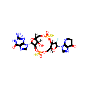 Nc1nc2c(ncn2[C@@H]2O[C@@H]3CO[P@@](=O)(S)O[C@H]4[C@H](F)[C@H](n5cnc6c5N=CCC6=O)O[C@@H]4CO[P@@](=O)(S)O[C@@H]2[C@@H]3O)c(=O)[nH]1